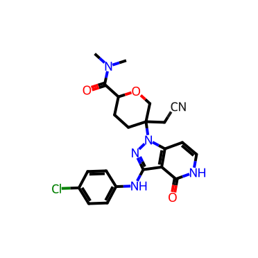 CN(C)C(=O)C1CCC(CC#N)(n2nc(Nc3ccc(Cl)cc3)c3c(=O)[nH]ccc32)CO1